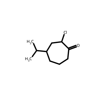 CC(C)C1CCCC(=O)C(Cl)C1